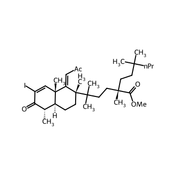 CCCC(C)(C)CC[C@@](C)(CCC(C)(C)[C@]1(C)CC[C@H]2[C@H](C)C(=O)C(I)=C[C@]2(C)/C1=C/C(C)=O)C(=O)OC